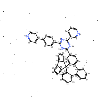 c1cncc(-c2nc(-c3ccc(-c4ccncc4)cc3)nc(-c3ccc4c(c3)C3(c5ccccc5-c5ccccc5-4)c4ccccc4-c4ccccc43)n2)c1